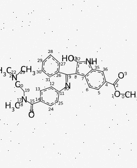 COC(=O)c1ccc2c(C(=Nc3ccc(C(=O)N(C)CCN(C)C)cc3)c3ccccc3)c(O)[nH]c2c1